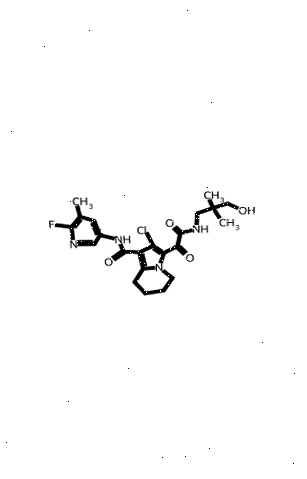 Cc1cc(NC(=O)c2c(Cl)c(C(=O)C(=O)NCC(C)(C)CO)n3c2CCCC3)cnc1F